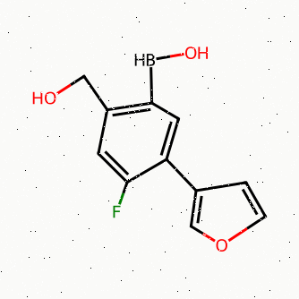 OBc1cc(-c2ccoc2)c(F)cc1CO